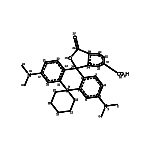 CN(C)c1ccc2c(c1)[Si]1(CCCCC1)c1cc(N(C)C)ccc1C21OC(=O)c2ccc(C(=O)O)cc21